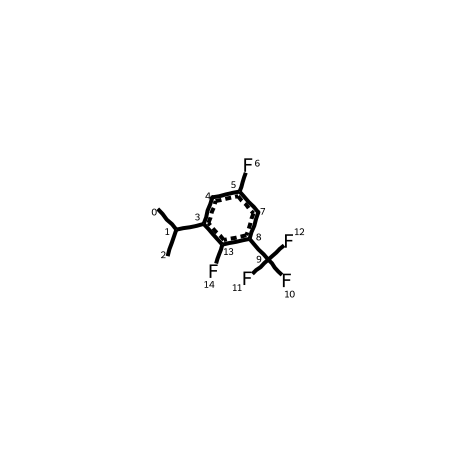 CC(C)c1cc(F)cc(C(F)(F)F)c1F